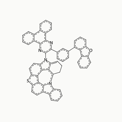 C1=c2c3c(n4c5ccccc5c5ccc6sc7ccc(c3c7c6c54)n2-c2nc3c4ccccc4c4ccccc4c3nc2-c2cccc(-c3cccc4oc5ccccc5c34)c2)CC1